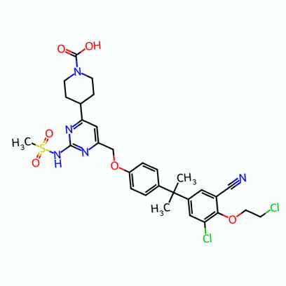 CC(C)(c1ccc(OCc2cc(C3CCN(C(=O)O)CC3)nc(NS(C)(=O)=O)n2)cc1)c1cc(Cl)c(OCCCl)c(C#N)c1